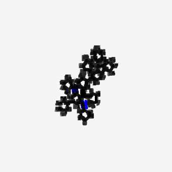 c1ccc(N2c3ccccc3B3c4cc(-c5ccc6c(c5)C(c5ccccc5)(c5ccccc5)c5ccccc5-6)ccc4N(c4ccccc4)c4cc(C5CCCCC5)cc2c43)cc1